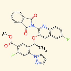 COC(=O)c1cc([C@H](C)Oc2cc3cc(F)ccc3nc2N2C(=O)c3ccccc3C2=O)c(-n2cccn2)cc1F